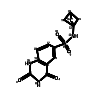 O=c1[nH]c(=O)c2cc(S(=O)(=O)NC34CC(C3)C4)ccc2[nH]1